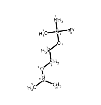 CCC[Si](C)(N)O[SiH2][SiH2]O[SiH](C)C